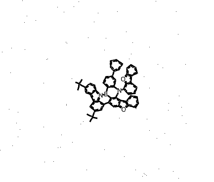 CC(C)(C)c1ccc2c(c1)c1cc(C(C)(C)C)cc3c1n2B1c2ccc(-c4ccccc4)cc2N(c2cccc4c2oc2ccccc24)c2c1c-3cc1oc3ccccc3c21